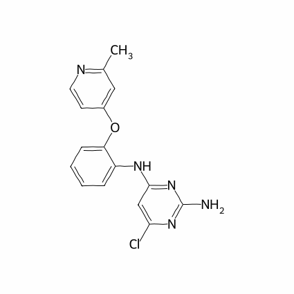 Cc1cc(Oc2ccccc2Nc2cc(Cl)nc(N)n2)ccn1